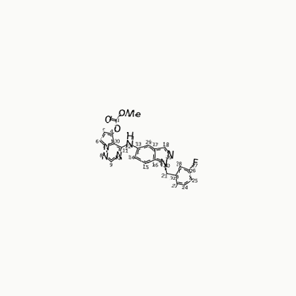 COC(=O)Oc1ccn2ncnc(Nc3ccc4c(cnn4Cc4cccc(F)c4)c3)c12